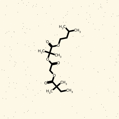 CCC(C)(C)C(=O)OCC(=O)OC(C)(C)C(=O)OCCC(C)C